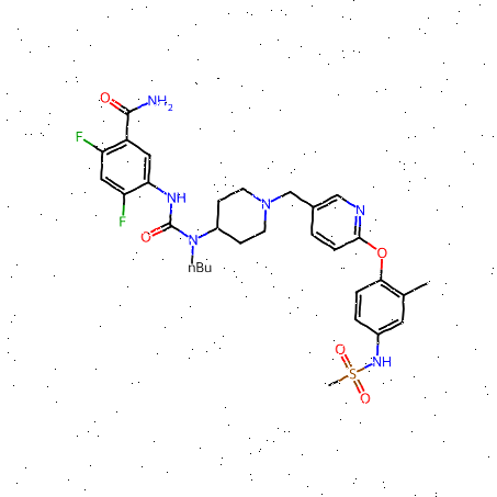 CCCCN(C(=O)Nc1cc(C(N)=O)c(F)cc1F)C1CCN(Cc2ccc(Oc3ccc(NS(C)(=O)=O)cc3C)nc2)CC1